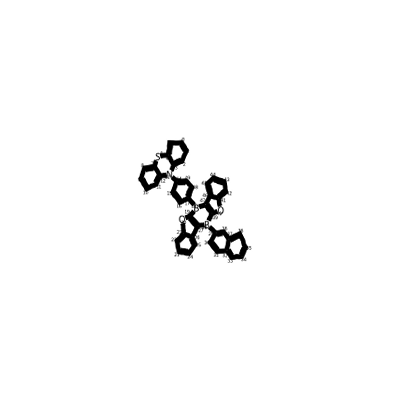 c1ccc2c(c1)Sc1ccccc1N2c1ccc(B2c3oc4ccccc4c3B(c3ccc4ccccc4c3)c3oc4ccccc4c32)cc1